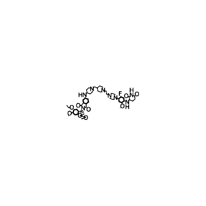 CCOc1cc([C@@H](CS(C)(=O)=O)N2C(=O)c3ccc(NC4CCN(CC5CCN(CCN6CCN(c7cc(OC)c(NC8CCC(=O)NC8=O)cc7F)CC6)CC5)CC4)cc3C2=O)ccc1OC